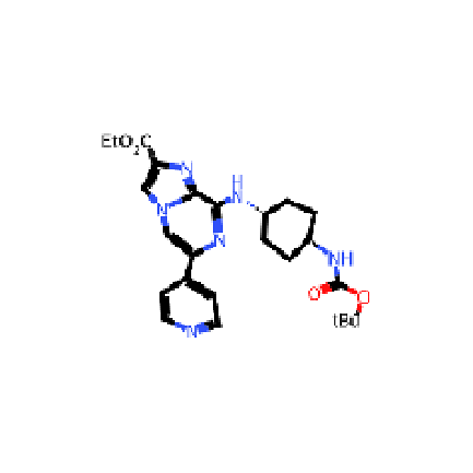 CCOC(=O)c1cn2cc(-c3ccncc3)nc(N[C@H]3CC[C@H](NC(=O)OC(C)(C)C)CC3)c2n1